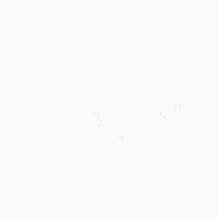 CN1CCC(CN2CC[C@@H](N(C)C(=O)CC(c3ccccc3)c3ccccc3)C2)CC1